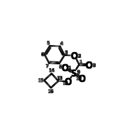 O=C(Oc1ccccc1)S(=O)(=O)OC1CCC1